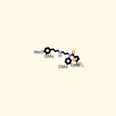 COc1ccc(CCCNCCCN(C(=O)c2ccc([N+](=O)[O-])o2)c2ccc(OC)c(OC)c2)cc1OC